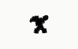 CC(NC1CCOCC1)c1cc(N(COCC[Si](C)(C)C)COCC[Si](C)(C)C)n2ncc(C3C=Nc4ccc(F)cc43)c2n1